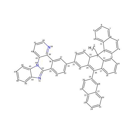 CC1(c2cccc3ccccc23)c2ccccc2C(c2ccc3ccccc3c2)=C2C=C(c3ccc4c(c3)c3ncccc3n3c5ccccc5nc43)C=CC21